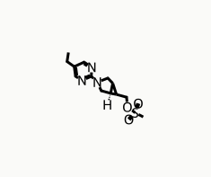 CCc1cnc(N2CC3C(COS(C)(=O)=O)[C@H]3C2)nc1